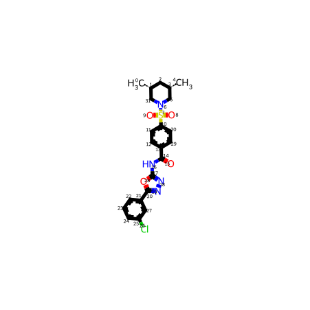 C[C@@H]1C[C@H](C)CN(S(=O)(=O)c2ccc(C(=O)Nc3nnc(-c4cccc(Cl)c4)o3)cc2)C1